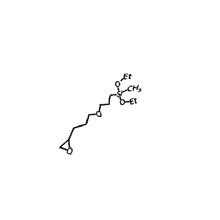 CCO[Si](C)(CCCOCCCC1CO1)OCC